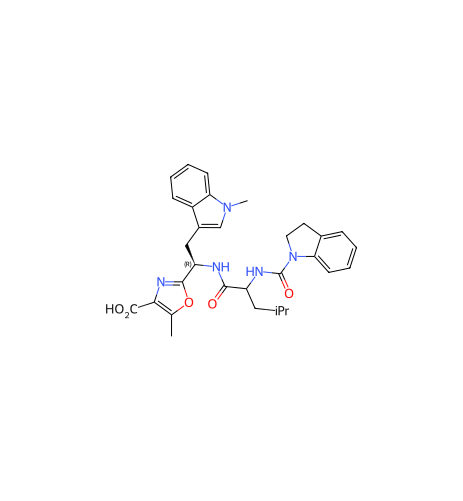 Cc1oc([C@@H](Cc2cn(C)c3ccccc23)NC(=O)C(CC(C)C)NC(=O)N2CCc3ccccc32)nc1C(=O)O